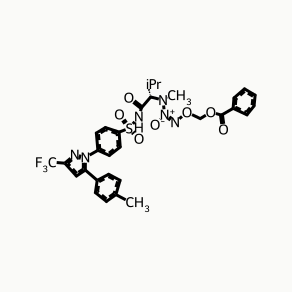 Cc1ccc(-c2cc(C(F)(F)F)nn2-c2ccc(S(=O)(=O)NC(=O)[C@H](C(C)C)N(C)/[N+]([O-])=N\OCOC(=O)c3ccccc3)cc2)cc1